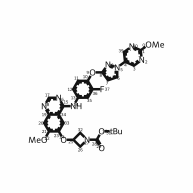 COc1ncc(-n2ccc(Oc3ccc(Nc4ncnc5cc(OC)c(OC6CN(C(=O)OC(C)(C)C)C6)cc45)cc3F)n2)cn1